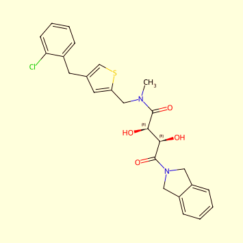 CN(Cc1cc(Cc2ccccc2Cl)cs1)C(=O)[C@H](O)[C@@H](O)C(=O)N1Cc2ccccc2C1